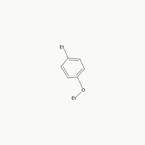 C[CH]Oc1ccc(CC)cc1